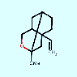 C=CC12CCC3CC1COC3(OC)C2